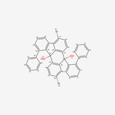 OC1(c2ccccc2-c2ccccc2)c2ccc(Br)cc2C(O)(c2ccccc2-c2ccccc2)c2ccc(Br)cc21